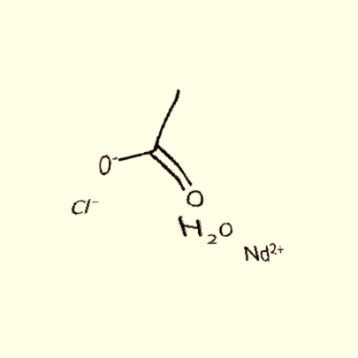 CC(=O)[O-].O.[Cl-].[Nd+2]